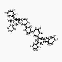 C1=CCCC(C2=NC(C3C=C(c4cccc(C5C=C(C6N=C(C7C=CC=CC7)N=C(C7=CCCC=C7)N6)C=CC5)c4)CCC3)NC(c3ccccc3)N2)=C1